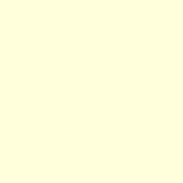 COc1cc(C)c(O)c(CC=C(C)C)c1